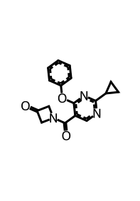 O=C1CN(C(=O)c2cnc(C3CC3)nc2Oc2ccccc2)C1